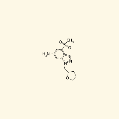 CS(=O)(=O)c1cc(N)cc2c1cnn2CC1CCCO1